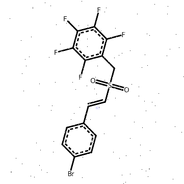 O=S(=O)(/C=C/c1ccc(Br)cc1)Cc1c(F)c(F)c(F)c(F)c1F